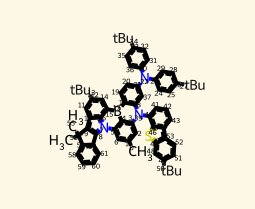 Cc1cc2c3c(c1)-n1c4c(c5cc(C(C)(C)C)cc(c51)B3c1ccc(N(c3ccc(C(C)(C)C)cc3)c3ccc(C(C)(C)C)cc3)cc1N2c1cccc2c1sc1cc(C(C)(C)C)ccc12)C(C)(C)c1ccccc1-4